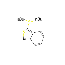 CCCC[SH](CCCC)c1scc2ccccc12